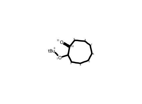 CC(C)(C)OC1CCCCCCCC1=O